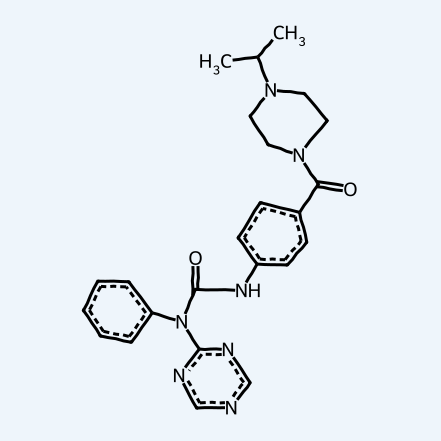 CC(C)N1CCN(C(=O)c2ccc(NC(=O)N(c3ccccc3)c3ncncn3)cc2)CC1